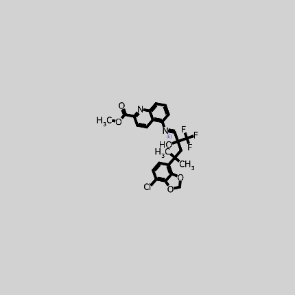 COC(=O)c1ccc2c(/N=C/C(O)(CC(C)(C)c3ccc(Cl)c4c3OCO4)C(F)(F)F)cccc2n1